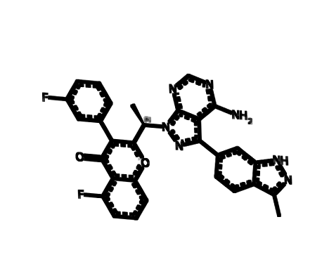 Cc1n[nH]c2cc(-c3nn([C@H](C)c4oc5cccc(F)c5c(=O)c4-c4cccc(F)c4)c4ncnc(N)c34)ccc12